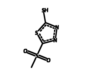 CS(=O)(=O)c1nnc(S)s1